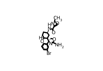 Cc1nc(C(=O)N[C@@H]2CC[C@@H]3Oc4ccc(Br)cc4[C@@]4(COC(N)=N4)C3C2)co1